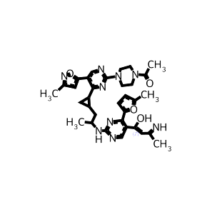 CC(=N)/C=C(\O)c1cnc(NC(C)CC2CC2c2nc(N3CCN(C(C)=O)CC3)ncc2-c2cc(C)no2)nc1-c1ccc(C)o1